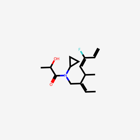 C=C/C(F)=C\C(C)/C(=C\C)CN(C(=O)C(C)O)C1CC1